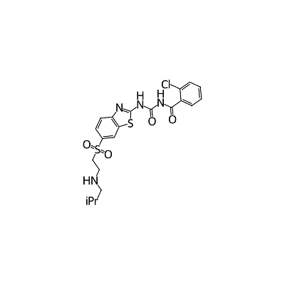 CC(C)CNCCS(=O)(=O)c1ccc2nc(NC(=O)NC(=O)c3ccccc3Cl)sc2c1